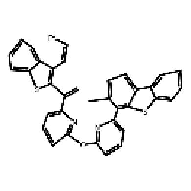 C=C(c1cccc(Oc2cccc(-c3c(C)ccc4c3sc3ccccc34)n2)n1)c1sc2ccccc2c1/C=C\CC